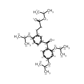 CC(C)OC(=O)CCc1cc(C(=O)c2ccc(OC(C)C)cc2OC(C)C)ccc1OC(C)C